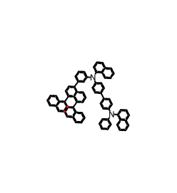 c1ccc(N(c2ccc(-c3ccc(N(c4cccc(-c5ccc(-c6cccc7ccccc67)c6c(-c7cccc8ccccc78)cccc56)c4)c4cccc5ccccc45)cc3)cc2)c2cccc3ccccc23)cc1